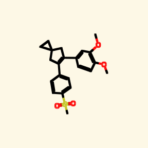 COc1ccc(C2=C(c3ccc(S(C)(=O)=O)cc3)CC3(CC3)C2)cc1OC